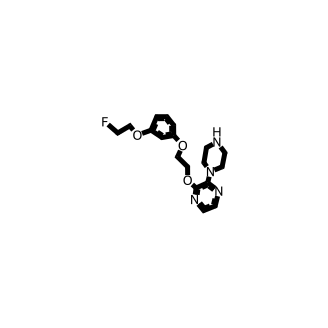 FCCOc1cccc(OCCOc2nccnc2N2CCNCC2)c1